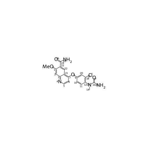 COc1cc2nccc(Oc3ccc(N(C)C(N)=O)c(Cl)c3)c2cc1C(N)=O